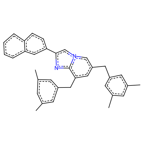 Cc1cc(C)cc(Cc2cc(Cc3cc(C)cc(C)c3)c3nc(-c4ccc5ccccc5c4)cn3c2)c1